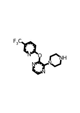 FC(F)(F)c1ccc(Oc2nccnc2N2CCNCC2)nc1